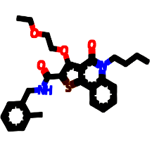 CCCCn1c(=O)c2c(OCCOCC)c(C(=O)NCc3ccccc3C)sc2c2ccccc21